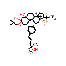 CC1(C)COC2(CCC3=C4[C@@H](CC[C@@]3(O)C2)[C@@H]2CC[C@@](O)(C(F)(F)C(F)(F)F)[C@@]2(C)C[C@@H]4c2ccc(/C=C/CC(O)(C#N)CC#N)cc2)OC1